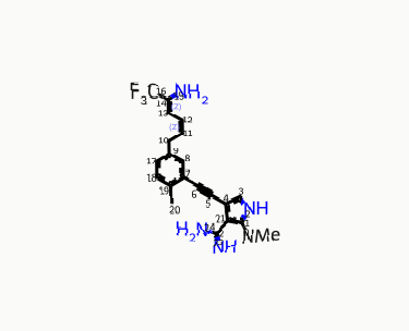 CNc1[nH]cc(C#Cc2cc(C/C=C\C=C(/N)C(F)(F)F)ccc2C)c1C(=N)N